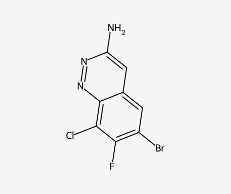 Nc1cc2cc(Br)c(F)c(Cl)c2nn1